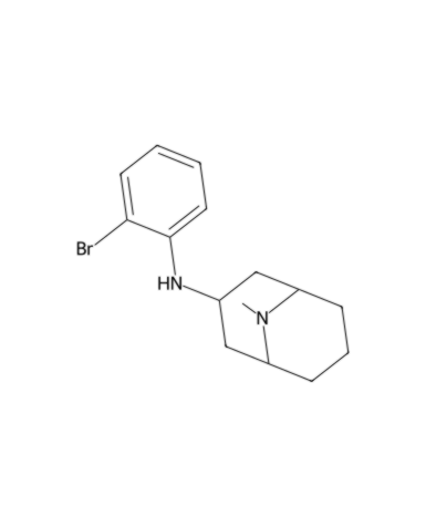 CN1C2CCCC1CC(Nc1ccccc1Br)C2